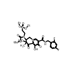 CCOP(=O)(CCN(C(=O)OC(C)(C)C)C1Cn2cc(C(=O)NCc3ccc(F)cc3F)c(=O)c(O)c2C(=O)C1(C)C)OCC